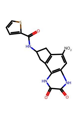 O=C(NC1Cc2c([N+](=O)[O-])cc3[nH]c(=O)c(=O)[nH]c3c2C1)c1cccs1